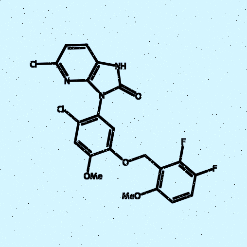 COc1cc(Cl)c(-n2c(=O)[nH]c3ccc(Cl)nc32)cc1OCc1c(OC)ccc(F)c1F